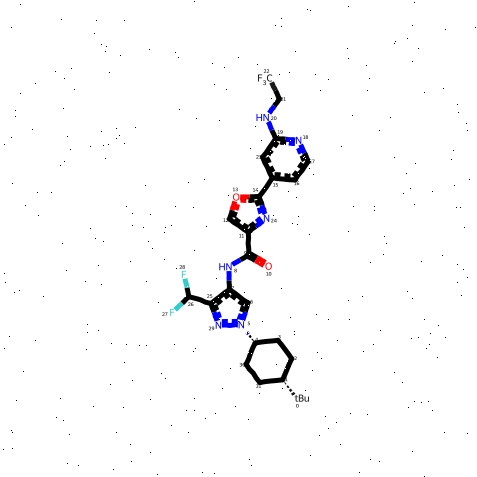 CC(C)(C)[C@H]1CC[C@@H](n2cc(NC(=O)c3coc(-c4ccnc(NCC(F)(F)F)c4)n3)c(C(F)F)n2)CC1